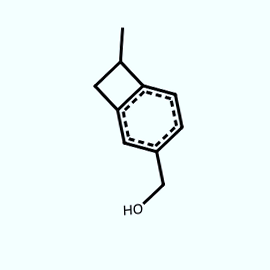 CC1Cc2cc(CO)ccc21